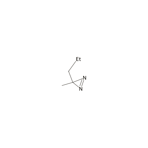 CCCC1(C)N=N1